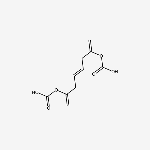 C=C(CC=CCC(=C)OC(=O)O)OC(=O)O